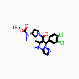 CC1=C(C(=O)N2CC[C@@H](NC(=O)OC(C)(C)C)C2)C(c2ccc(Cl)c(Cl)c2)n2nccc2N1